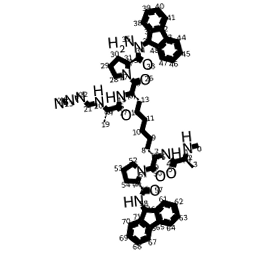 CN[C@@H](C)C(=O)N[C@@H](CCCCCC[C@H](NC(=O)[C@H](C)NCN=[N+]=[N-])C(=O)N1CCC[C@H]1C(=O)N(N)C1c2ccccc2-c2ccccc21)C(=O)N1CCC[C@H]1C(=O)NC1c2ccccc2-c2ccccc21